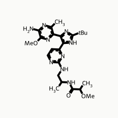 COc1nc(-c2nc(C(C)(C)C)[nH]c2-c2ccnc(NCC(C)NC(=O)C(C)OC)n2)c(C)nc1N